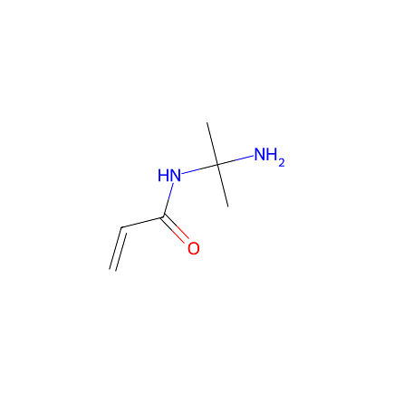 C=CC(=O)NC(C)(C)N